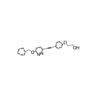 OCCOc1ccc(C#Cc2ccc(OCc3ccccc3)nn2)cc1